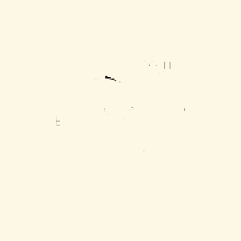 CCC(CC1CO1)C(=O)O.CC[C@H](CC1CO1)C(=O)O